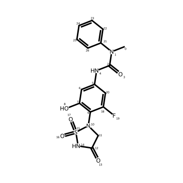 CN(C(=O)Nc1cc(O)c(N2CC(=O)NS2(=O)=O)c(F)c1)c1ccccc1